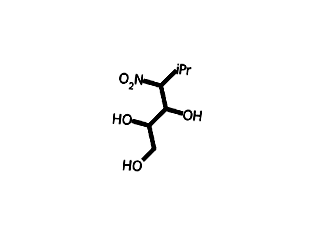 CC(C)C(C(O)C(O)CO)[N+](=O)[O-]